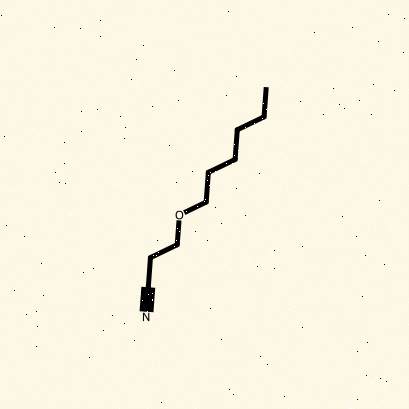 CCCCCCOCCC#N